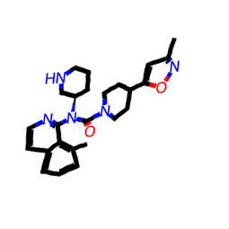 Cc1cc(C2CCN(C(=O)N(c3nccc4cccc(C)c34)[C@@H]3CCCNC3)CC2)on1